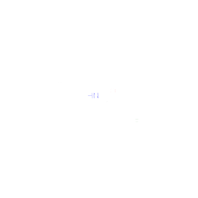 Cc1c(F)cccc1C(=O)NC1CCCc2ccccc21